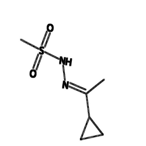 CC(=NNS(C)(=O)=O)C1CC1